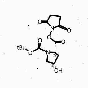 CC(C)(C)OC(=O)N1C[C@@H](O)C[C@H]1C(=O)ON1C(=O)CCC1=O